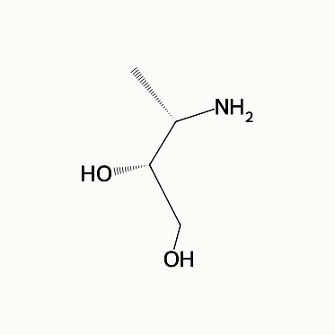 C[C@H](N)[C@@H](O)CO